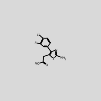 Nc1nc(-c2ccc(Cl)c(F)c2)c(CC(=O)O)s1